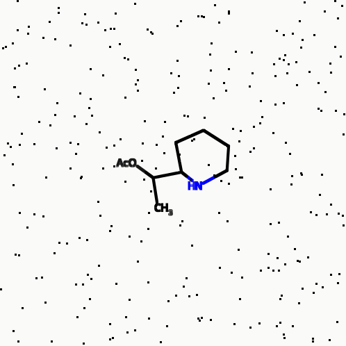 CC(=O)OC(C)C1CCCCN1